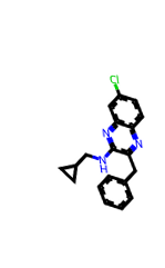 Clc1ccc2nc(Cc3ccccc3)c(NCC3CC3)nc2c1